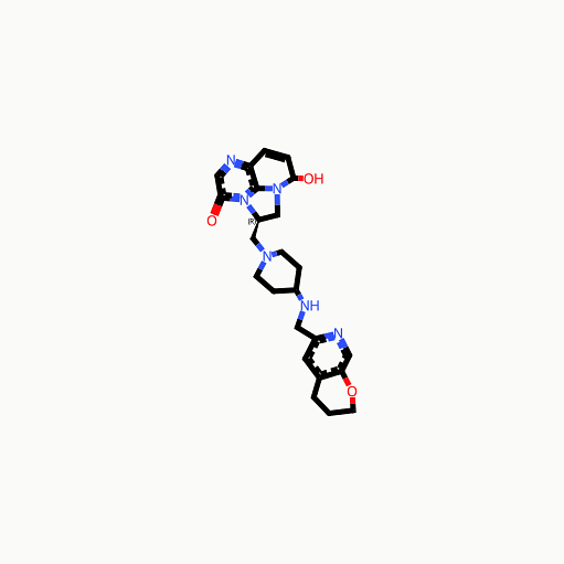 O=c1cnc2c3n1[C@H](CN1CCC(NCc4cc5c(cn4)OCCC5)CC1)CN3C(O)C=C2